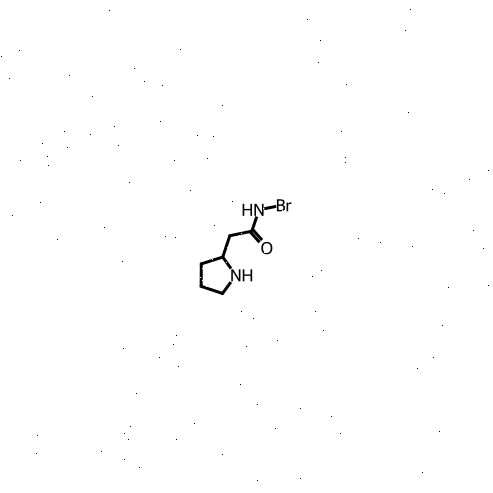 O=C(CC1CCCN1)NBr